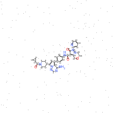 Nc1ncnn2c(C3CCN(C(=O)C4CC4)CC3)cc(-c3ccc(NC(=O)c4c5n(n(-c6ccccn6)c4=O)CCOC5)cc3)c12